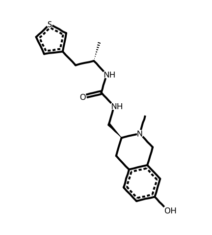 C[C@@H](Cc1ccsc1)NC(=O)NC[C@@H]1Cc2ccc(O)cc2CN1C